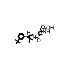 CC(C)(C)c1cccc([C@H]2[C@@H]3CN(C(=O)[C@H]4C[C@]5(COC(O)N5)C4)C[C@@H]32)c1